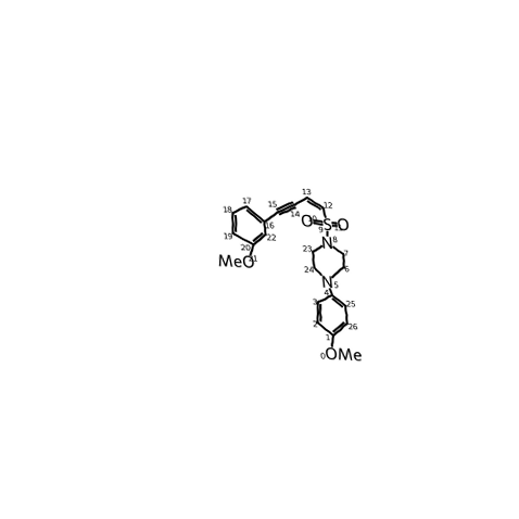 COc1ccc(N2CCN(S(=O)(=O)/C=C\C#Cc3cccc(OC)c3)CC2)cc1